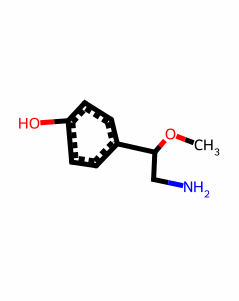 COC(CN)c1ccc(O)cc1